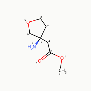 COC(=O)C[C@@]1(N)CCOC1